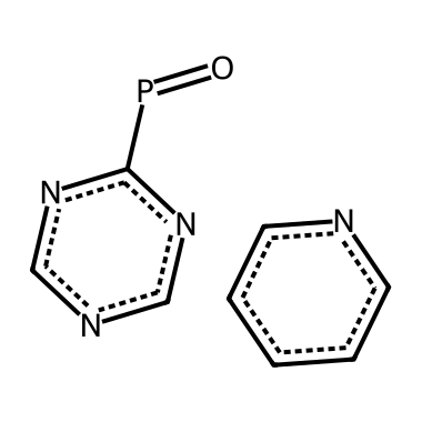 O=Pc1ncncn1.c1ccncc1